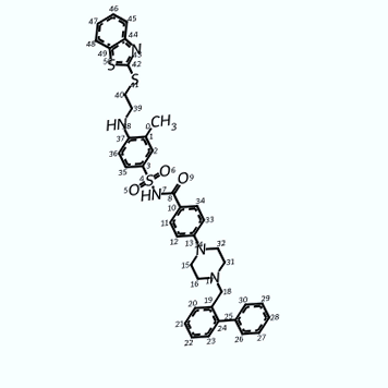 Cc1cc(S(=O)(=O)NC(=O)c2ccc(N3CCN(Cc4ccccc4-c4ccccc4)CC3)cc2)ccc1NCCSc1nc2ccccc2s1